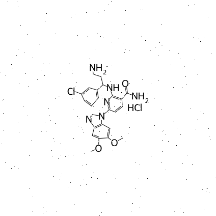 COc1cc2ncn(-c3ccc(C(N)=O)c(NC(CCN)c4cccc(Cl)c4)n3)c2cc1OC.Cl